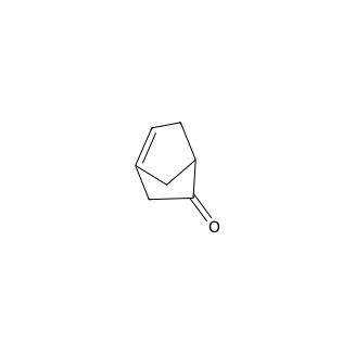 O=C1CC2=CCC1C2